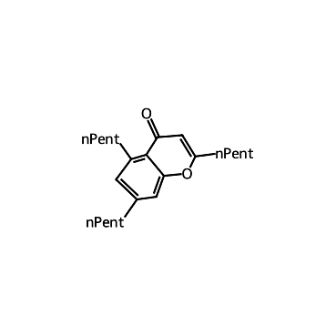 CCCCCc1cc(CCCCC)c2c(=O)cc(CCCCC)oc2c1